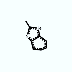 Cc1nc2ccccc2[te]1